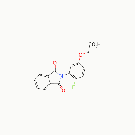 O=C(O)COc1ccc(F)c(N2C(=O)c3ccccc3C2=O)c1